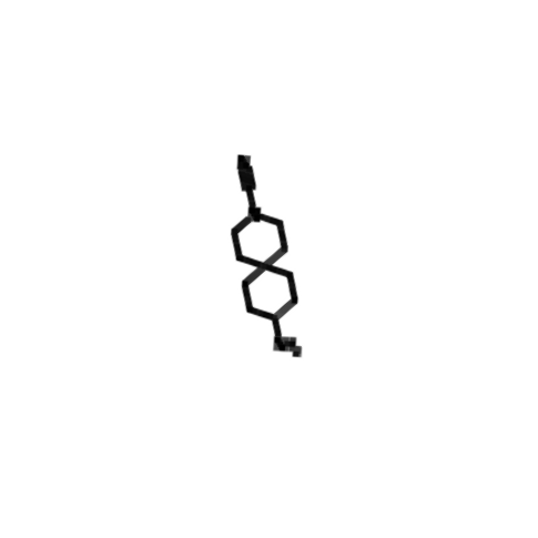 N#CN1CCC2(CCC(N)CC2)CC1